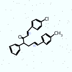 Cc1ccc(/C=C/CC(C(=O)/C=C/c2ccc(Cl)cc2)c2ccccc2)cc1